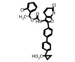 C[C@@H](OC(=O)Nc1c(-c2ccc(-c3ccc(C4(C(=O)O)CC4)cc3)cc2)oc2nc(Cl)ccc12)c1ccccc1Cl